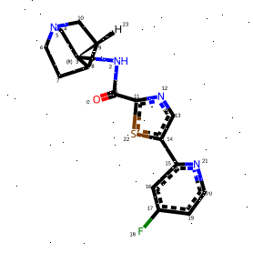 O=C(N[C@H]1CN2CCC1CC2)c1ncc(-c2cc(F)ccn2)s1